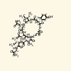 CC[C@H](C)[C@@H]1NC(=O)[C@H](Cc2ccc(O)cc2)NC(=O)CCS(=O)(=O)CC[C@@H](C(=O)N(C)CC(=O)N[C@@H](CN)C(=O)NCC(N)=O)NC(=O)[C@H](CC(N)=O)NC(=O)[C@H](CCC(N)=O)NC1=O